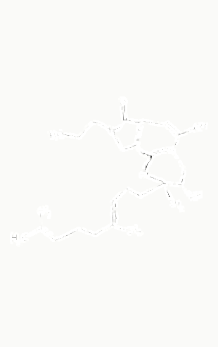 CC(C)=CCC/C(C)=C/CC[C@]1(C)Oc2c(c(O)cc3c2CN(CCO)C3=O)C[C@@H]1O